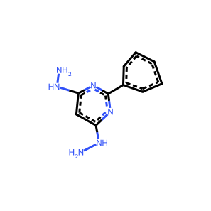 NNc1cc(NN)nc(-c2ccccc2)n1